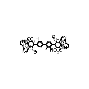 Cc1c(-c2ccc(C3CCC4(NC(=O)O)[C@@H](C3=C=O)c3cnc([nH]3)C3CCCN34)cc2)ccc(C2CCC3(NC(=O)O)[C@@H](C2=C=O)c2cnc([nH]2)C2CCCN23)c1C